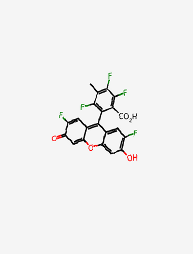 Cc1c(F)c(F)c(C(=O)O)c(-c2c3cc(F)c(=O)cc-3oc3cc(O)c(F)cc23)c1F